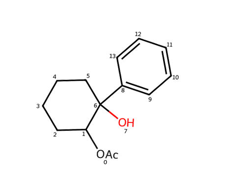 CC(=O)OC1CCCCC1(O)c1ccccc1